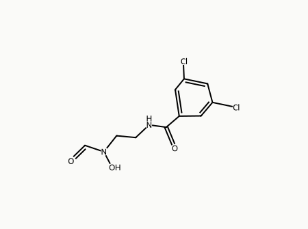 O=CN(O)CCNC(=O)c1cc(Cl)cc(Cl)c1